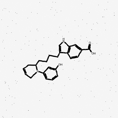 O=C(O)c1ccc2c(CCCCC3CC=CCN3c3cccc(O)c3)c[nH]c2c1